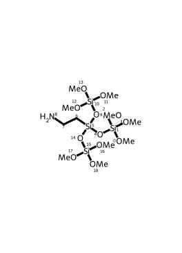 CO[Si](OC)(OC)O[Si](CCN)(O[Si](OC)(OC)OC)O[Si](OC)(OC)OC